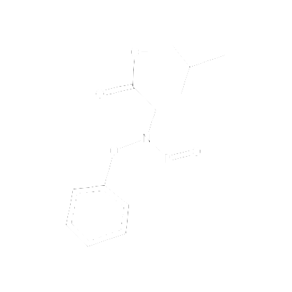 CC(C)C[C@@H](C(=O)O)N(Oc1ccccc1)P=O